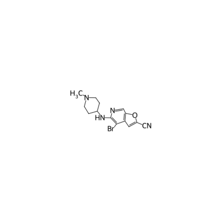 CN1CCC(Nc2ncc3oc(C#N)cc3c2Br)CC1